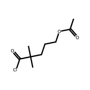 CC(=O)OCCCC(C)(C)C(=O)Cl